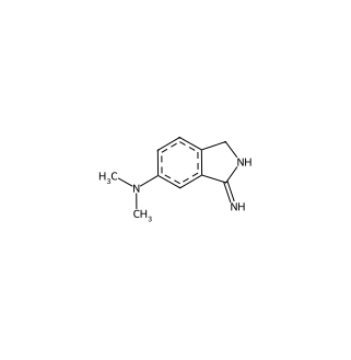 CN(C)c1ccc2c(c1)C(=N)NC2